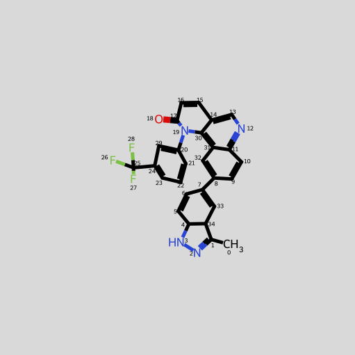 CC1=NNC2C=CC(c3ccc4ncc5ccc(=O)n(-c6cccc(C(F)(F)F)c6)c5c4c3)=CC12